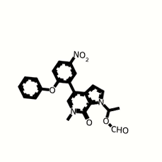 CC(OC=O)n1ccc2c(-c3cc([N+](=O)[O-])ccc3Oc3ccccc3)cn(C)c(=O)c21